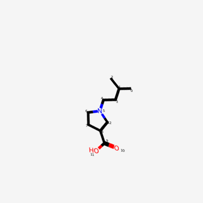 CC(C)CCN1CCC(C(=O)O)C1